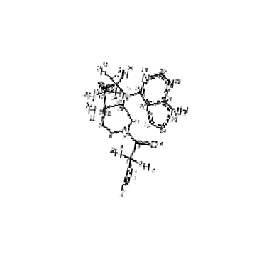 [2H]C([2H])([N+]#[C-])C(=O)N1CC[C@@]([2H])(C([2H])([2H])[2H])[C@@H](N(c2ncnc3[nH]ccc23)C([2H])([2H])[2H])C1